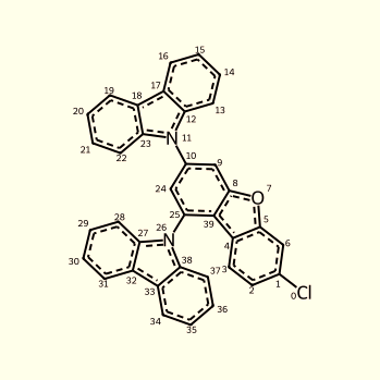 Clc1ccc2c(c1)oc1cc(-n3c4ccccc4c4ccccc43)cc(-n3c4ccccc4c4ccccc43)c12